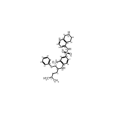 CN(C)CCC(CSc1ccccc1)Nc1ccc(S(=O)(=O)Nc2ncnc3c2CCNC3)cc1[N+](=O)[O-]